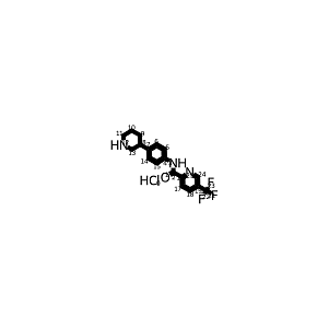 Cl.O=C(Nc1ccc(C2CCCNC2)cc1)c1ccc(C(F)(F)F)cn1